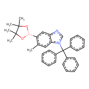 Cc1cc2c(cc1B1OC(C)(C)C(C)(C)O1)ncn2C(c1ccccc1)(c1ccccc1)c1ccccc1